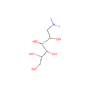 CN(I)CC(O)C(O)C(O)C(O)CO